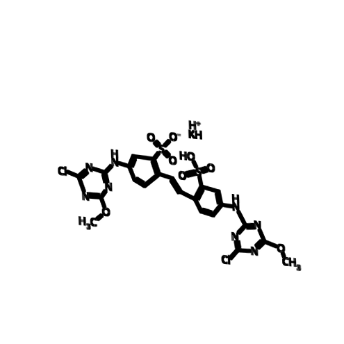 COc1nc(Cl)nc(Nc2ccc(C=Cc3ccc(Nc4nc(Cl)nc(OC)n4)cc3S(=O)(=O)O)c(S(=O)(=O)[O-])c2)n1.[H+].[KH]